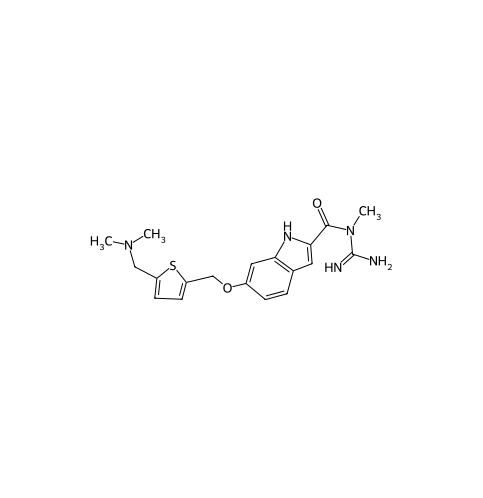 CN(C)Cc1ccc(COc2ccc3cc(C(=O)N(C)C(=N)N)[nH]c3c2)s1